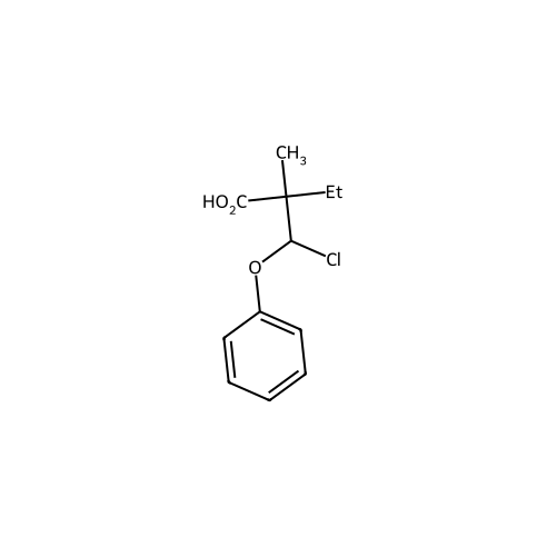 CCC(C)(C(=O)O)C(Cl)Oc1ccccc1